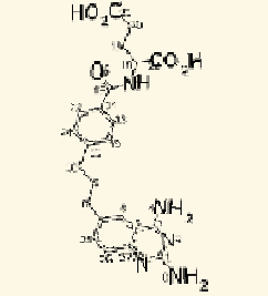 Nc1nc(N)c2cc(CCCc3ccc(C(=O)N[C@@H](CCC(=O)O)C(=O)O)cc3)ccc2n1